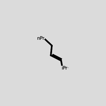 [CH2]CCCC=C[C](C)C